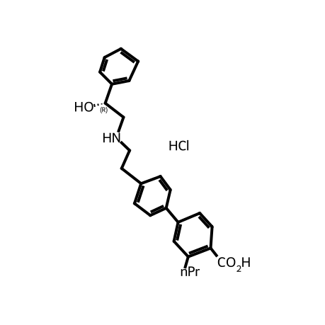 CCCc1cc(-c2ccc(CCNC[C@H](O)c3ccccc3)cc2)ccc1C(=O)O.Cl